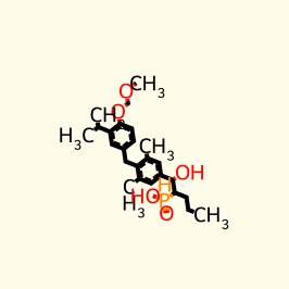 CCCC(C(O)c1cc(C)c(Cc2ccc(OCOC)c(C(C)C)c2)c(C)c1)[PH](=O)O